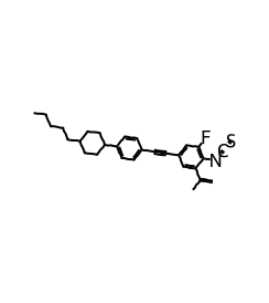 C=C(C)c1cc(C#Cc2ccc(C3CCC(CCCCC)CC3)cc2)cc(F)c1N=C=S